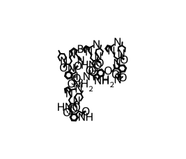 CC1CCN(C(=O)C(CCn2ccc(Br)c2C#N)N2C(=O)Cc3c2cccc3S(N)(=O)=O)CC1.CC1CCN(C(=O)C(CCn2cccc2C#N)NS(=O)(=O)c2cccc3[nH]cc(C(N)=O)c23)CC1.CC1CCN(C(=O)C(CCn2cccc2C#N)NS(=O)(=O)c2cccc3c2CC(=O)N3)CC1.CC1CCN(C(=O)C(CCn2cccc2C#N)n2cc(C=O)c3c(S(N)(=O)=O)cccc32)CC1